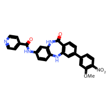 COc1cc(-c2ccc3c(c2)Nc2ccc(NC(=O)c4ccncc4)cc2NC3=O)ccc1[N+](=O)[O-]